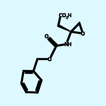 O=C(O)C[C@@]1(NC(=O)OCc2ccccc2)CO1